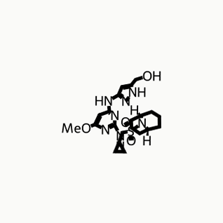 COc1cc(Nc2cc(CO)[nH]n2)nc(N[C@H]2C[C@H]3CCC[C@@H](C2)N3S(=O)(=O)CC2CC2)n1